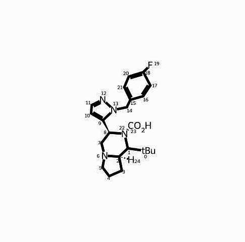 CC(C)(C)C1[C@H]2CCCN2C[C@@H](c2ccnn2Cc2ccc(F)cc2)N1C(=O)O